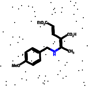 CCOC(=O)C=CC(C(=O)O)=C(C)NCc1ccc(OC)cc1